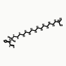 C=C[C](=O)[Ti]([CH3])([CH3])[CH2]CCCCCCCCCCCCCCC(C)C